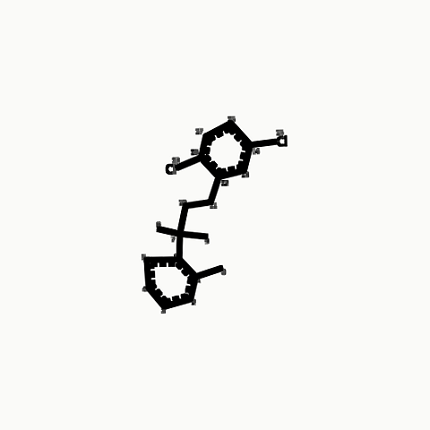 Cc1ccccc1C(C)(C)CCc1cc(Cl)ccc1Cl